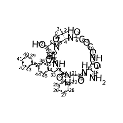 CC(C)(C)[C@@H]1NC(=O)COCCNC(=O)[C@@H](CN)NC(=O)[C@@H](Cc2ccccc2)NC(=O)[C@@H](Cc2ccc(-c3ccccc3)cc2)NC(=O)[C@@H]2C[C@@H](O)CN2C1=O